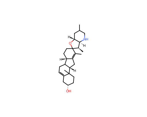 CC1=C2C[C@H]3C(CC=C4C[C@@H](O)CCC43C)[C@@H]2CCC12O[C@@H]1CC(C)CN[C@H]1[C@H]2C